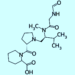 CC(C)[C@@H](CN1CCC[C@H]1C(=O)N1CCCCC1C(=O)O)N(C)C(=O)CNC=O